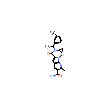 CCn1c(C(=O)N(C2CC2)C(c2cccc(C(F)(F)F)c2)C(F)(F)F)cc2cc(C(N)=O)c(C)nc21